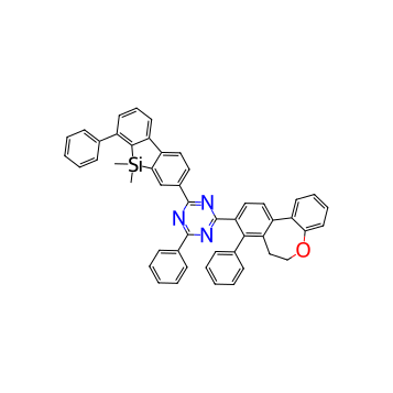 C[Si]1(C)c2cc(-c3nc(-c4ccccc4)nc(-c4ccc5c(c4-c4ccccc4)CCOc4ccccc4-5)n3)ccc2-c2cccc(-c3ccccc3)c21